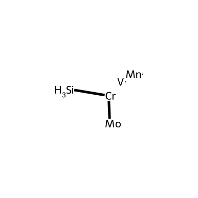 [Mn].[SiH3][Cr][Mo].[V]